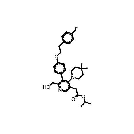 CC(C)OC(=O)Cc1cnc(CO)c(-c2ccc(OCCc3ccc(F)cc3)cc2)c1N1CCC(C)(C)CC1